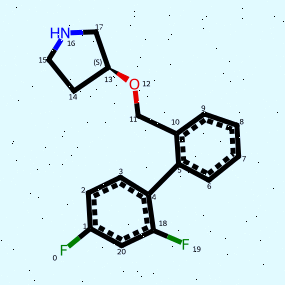 Fc1ccc(-c2ccccc2CO[C@H]2CCNC2)c(F)c1